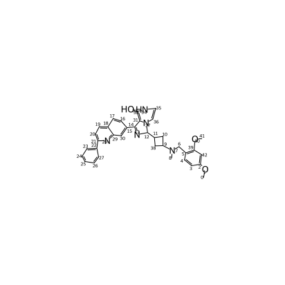 COc1ccc(CN(C)C2CC(C3N=C(c4ccc5ccc(-c6ccccc6)nc5c4)C4=C(O)NC=CN43)C2)c(OC)c1